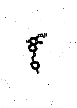 O=C(O)c1c[nH]c2ccc(OCc3ccc(F)cc3)cc2c1=O